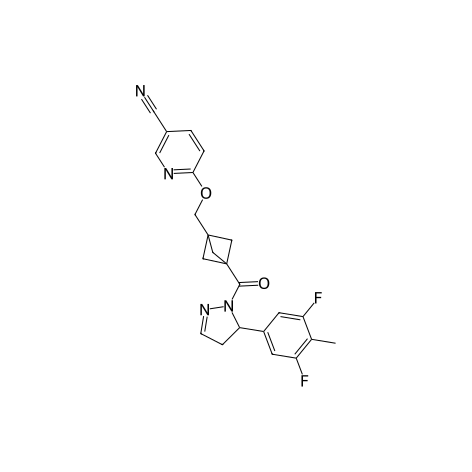 Cc1c(F)cc(C2CC=NN2C(=O)C23CC(COc4ccc(C#N)cn4)(C2)C3)cc1F